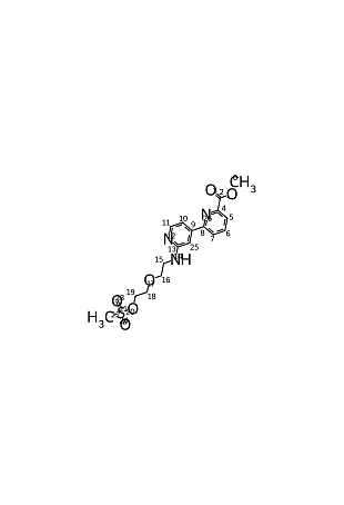 COC(=O)c1cccc(-c2ccnc(NCCOCCOS(C)(=O)=O)c2)n1